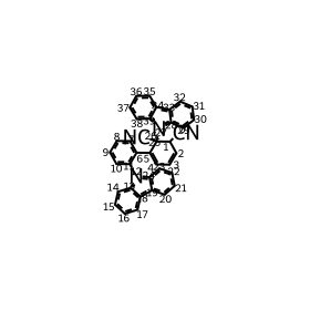 N#CC1C=CC=C(c2ccccc2-n2c3ccccc3c3ccccc32)C1(C#N)n1c2ccccc2c2ccccc21